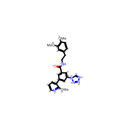 COc1ccc(CCNC(=O)c2cc(-c3cccnc3OC)cc(-n3cnnn3)c2)cc1OC